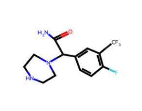 NC(=O)C(c1ccc(F)c(C(F)(F)F)c1)N1CCNCC1